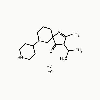 CC1=NC2(CCCN(C3CCNCC3)C2)C(=O)N1C(C)C.Cl.Cl